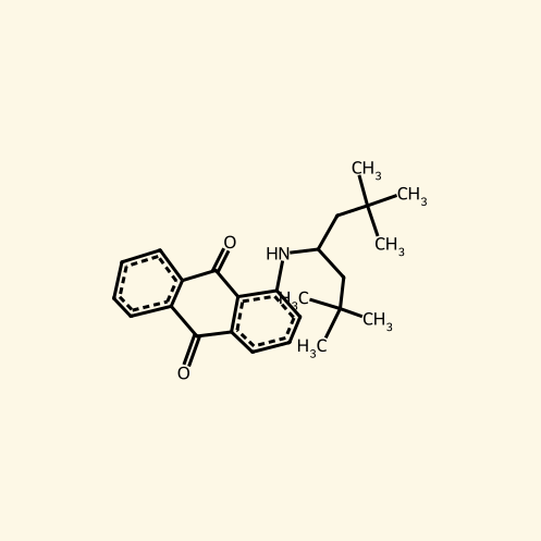 CC(C)(C)CC(CC(C)(C)C)Nc1cccc2c1C(=O)c1ccccc1C2=O